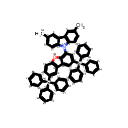 Cc1ccc2c(c1)c1cc(C)ccc1n2-c1cc([Si](c2ccccc2)(c2ccccc2)c2ccccc2)cc2c1oc1ccc([Si](c3ccccc3)(c3ccccc3)c3ccccc3)cc12